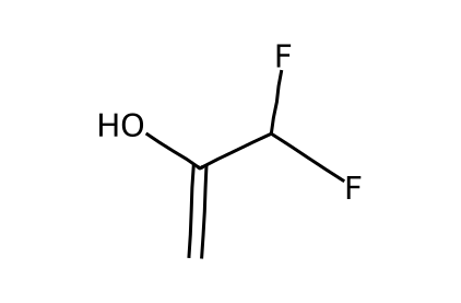 C=C(O)C(F)F